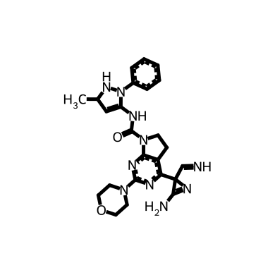 CC1C=C(NC(=O)N2CCc3c2nc(N2CCOCC2)nc3C2(C=N)N=C2N)N(c2ccccc2)N1